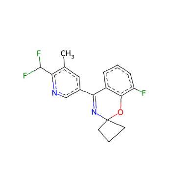 Cc1cc(C2=NC3(CCC3)Oc3c(F)cccc32)cnc1C(F)F